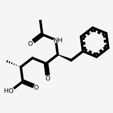 CC(=O)N[C@@H](Cc1ccccc1)C(=O)C[C@@H](C)C(=O)O